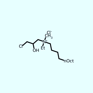 CCCCCCCCCCCC[N+](C)(CC)CC(O)CCl.[Cl-]